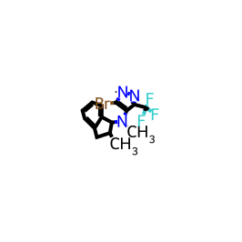 CC1Cc2ccccc2C1N(C)C1=C(Br)[N]N=C1C(F)(F)F